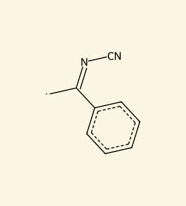 [CH2]/C(=N/C#N)c1ccccc1